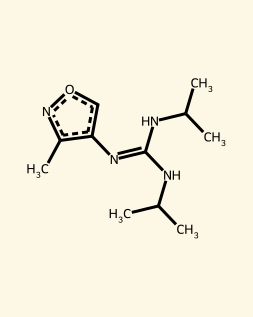 Cc1nocc1N=C(NC(C)C)NC(C)C